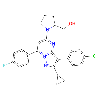 OCC1CCCN1c1cc(-c2ccc(F)cc2)n2nc(C3CC3)c(-c3ccc(Cl)cc3)c2n1